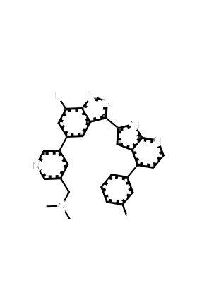 CN(C)Cc1cncc(-c2cc(F)c3[nH]nc(-c4cc5c(-c6cccc(F)c6)ccnc5[nH]4)c3c2)c1